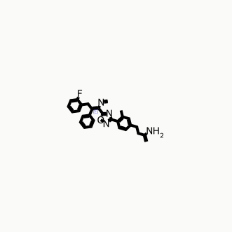 C=N/C(=C(\Cc1ccccc1F)c1ccccc1)c1nc(-c2ccc(CCC(=C)N)cc2C)no1